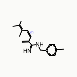 C=C(/C=C\C(C)=C(C)C)C(=N)NCc1ccc(C)cc1